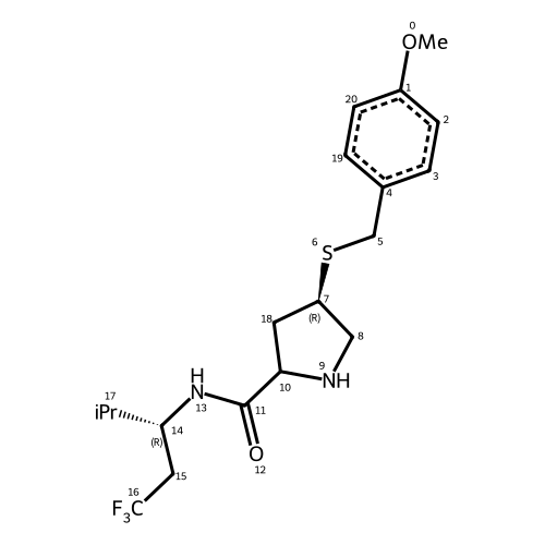 COc1ccc(CS[C@H]2CNC(C(=O)N[C@H](CC(F)(F)F)C(C)C)C2)cc1